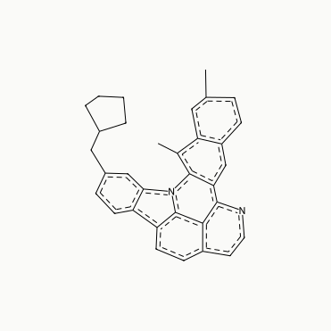 Cc1ccc2cc3c4nccc5ccc6c7ccc(CC8CCCC8)cc7n(c3c(C)c2c1)c6c54